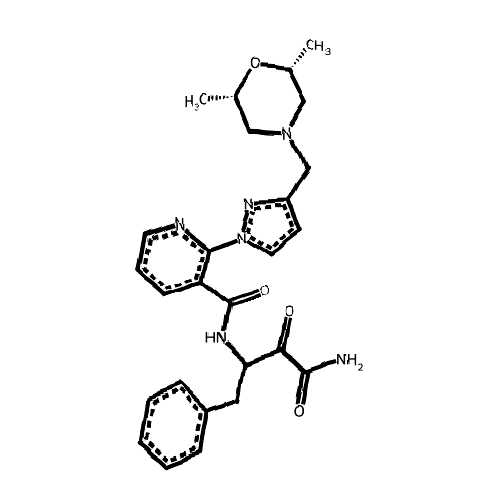 C[C@@H]1CN(Cc2ccn(-c3ncccc3C(=O)NC(Cc3ccccc3)C(=O)C(N)=O)n2)C[C@H](C)O1